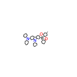 Cc1cc2c3c(c1)Oc1cc4c5ccc(N(c6ccccc6)c6ccccc6)cc5n(-c5ccccc5)c4cc1B3c1ccccc1O2